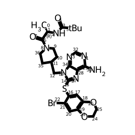 C[C@@H](NC(=O)C(C)(C)C)C(=O)N1CCC(Cn2c(Sc3cc4c(cc3Br)OCCO4)nc3c(N)ncnc32)CC1